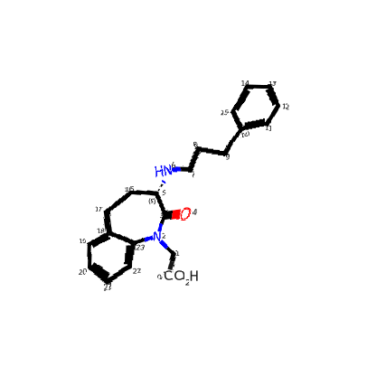 O=C(O)CN1C(=O)[C@@H](NCCCc2ccccc2)CCc2ccccc21